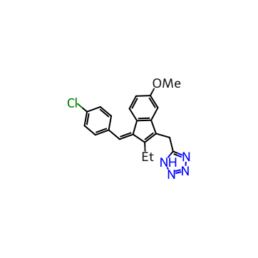 CCC1=C(Cc2nnn[nH]2)c2cc(OC)ccc2C1=Cc1ccc(Cl)cc1